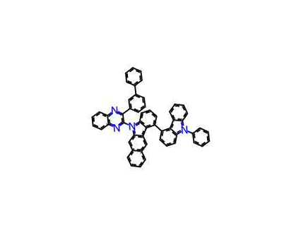 c1ccc(-c2cccc(-c3nc4ccccc4nc3-n3c4cc5ccccc5cc4c4c(-c5cccc6c5c5ccccc5n6-c5ccccc5)cccc43)c2)cc1